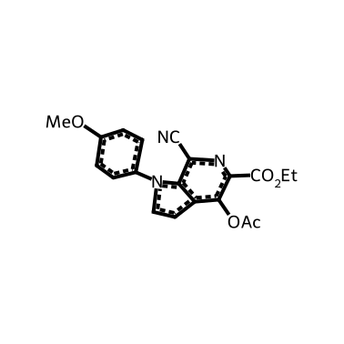 CCOC(=O)c1nc(C#N)c2c(ccn2-c2ccc(OC)cc2)c1OC(C)=O